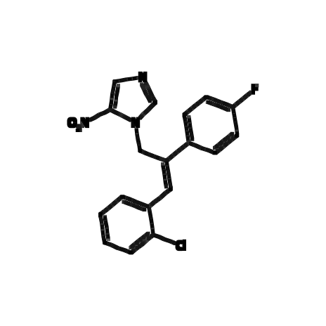 O=[N+]([O-])c1cncn1C/C(=C\c1ccccc1Cl)c1ccc(F)cc1